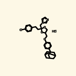 Cl.Clc1ccc(CCC2(Cn3ccnc3)OCC(COc3ccc(C45CC6CC(CC(C6)C4)C5)cc3)O2)cc1